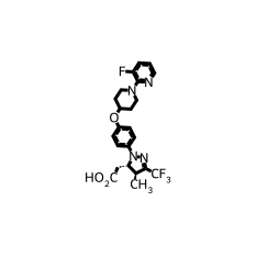 C[C@@H]1C(C(F)(F)F)=NN(c2ccc(OC3CCN(c4ncccc4F)CC3)cc2)[C@H]1CC(=O)O